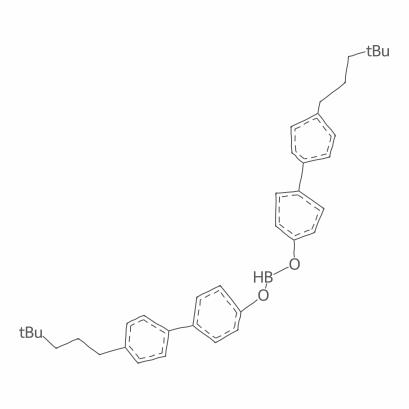 CC(C)(C)CCCc1ccc(-c2ccc(OBOc3ccc(-c4ccc(CCCC(C)(C)C)cc4)cc3)cc2)cc1